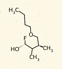 CCCCOC[C@@H](C)C(C)[C@H](O)F